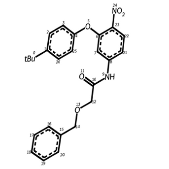 CC(C)(C)c1ccc(Oc2cc(NC(=O)COCc3ccccc3)ccc2[N+](=O)[O-])cc1